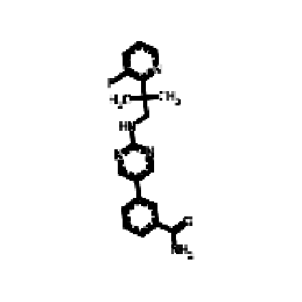 CC(C)(CNc1ncc(-c2cccc(C(N)=O)c2)cn1)c1ncccc1F